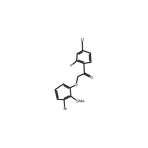 COc1c(Br)cccc1OCC(=O)c1ccc(Cl)cc1F